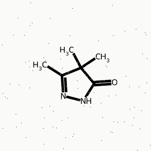 CC1=NNC(=O)C1(C)C